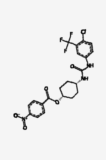 O=C(Nc1ccc(Cl)c(C(F)(F)F)c1)N[C@H]1CC[C@@H](OC(=O)c2ccc([N+](=O)[O-])cc2)CC1